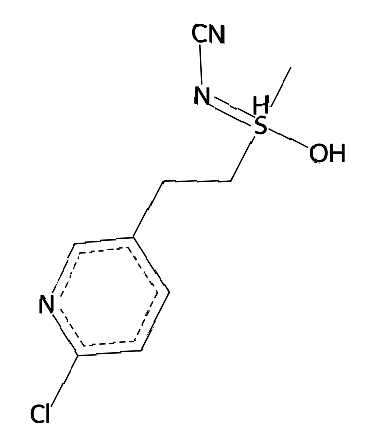 C[SH](O)(CCc1ccc(Cl)nc1)=NC#N